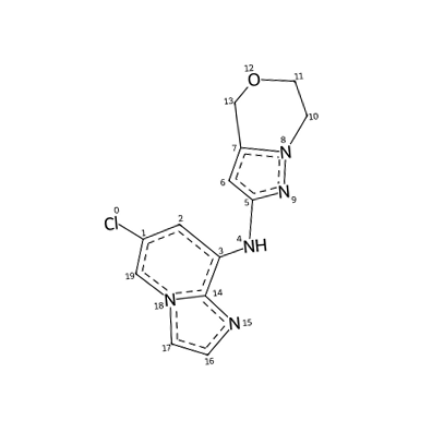 Clc1cc(Nc2cc3n(n2)CCOC3)c2nccn2c1